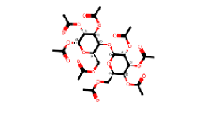 CC(=O)OC[C@H]1O[C@@H](O[C@@H]2[C@H](OC(C)=O)[C@@H](OC(C)=O)[C@@H](OC(C)=O)O[C@@H]2COC(C)=O)[C@H](OC(C)=O)[C@@H](OC(C)=O)[C@H]1OC(C)=O